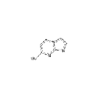 CC(C)(C)c1ccn2ccnc2n1